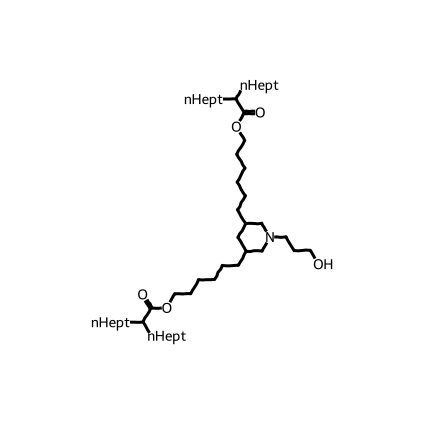 CCCCCCCC(CCCCCCC)C(=O)OCCCCCCC1CC(CCCCCCOC(=O)C(CCCCCCC)CCCCCCC)CN(CCCO)C1